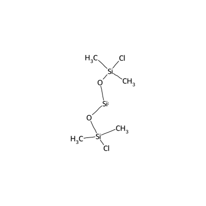 C[Si](C)(Cl)O[Si]O[Si](C)(C)Cl